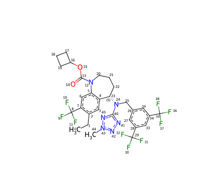 CCc1cc2c(cc1C(F)(F)F)N(C(=O)OC1CCC1)CCC[C@@H]2N(Cc1cc(C(F)(F)F)cc(C(F)(F)F)c1)c1nnn(C)n1